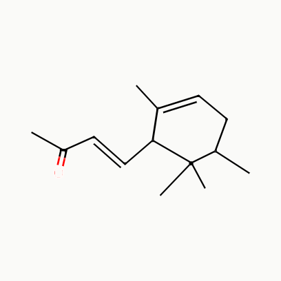 CC(=O)/C=C/C1C(C)=CCC(C)C1(C)C